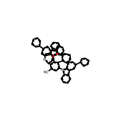 N#Cc1cc(-n2c3ccccc3c3cc(-c4ccccc4)ccc32)c(-c2ccccc2-n2c3ccccc3c3cnccc32)c(-n2c3ccccc3c3cc(-c4ccccc4)ccc32)c1